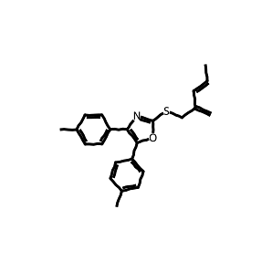 C=C(/C=C/C)CSc1nc(-c2ccc(C)cc2)c(-c2ccc(C)cc2)o1